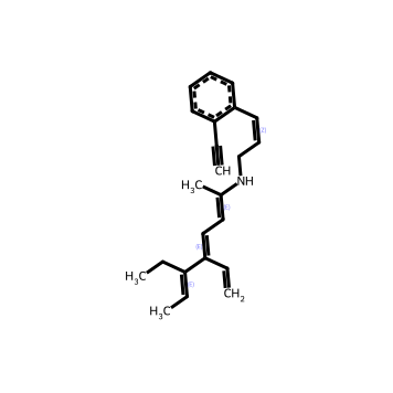 C#Cc1ccccc1/C=C\CN/C(C)=C/C=C(C=C)/C(=C/C)CC